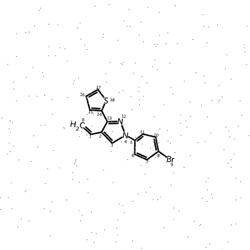 C=Cc1cn(-c2ccc(Br)cc2)nc1-c1cccs1